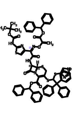 C=C(O/N=C(\C(=O)N[C@@H]1C(=O)N2C(C(=O)OC(c3ccccc3)c3ccccc3)=C(SC(Sc3c[nH]nn3)C(c3ccccc3)(c3ccccc3)c3ccccc3)CS[C@@H]12)c1csc(NC(=O)OC(C)(C)C)n1)C(=O)OC(c1ccccc1)c1ccccc1